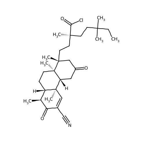 CCC(C)(C)CC[C@@](C)(CC[C@]1(C)CC(=O)C[C@@H]2[C@@]3(C)C=C(C#N)C(=O)[C@@H](C)[C@@H]3CC[C@]21C)C(=O)Cl